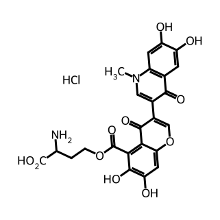 Cl.Cn1cc(-c2coc3cc(O)c(O)c(C(=O)OCCC(N)C(=O)O)c3c2=O)c(=O)c2cc(O)c(O)cc21